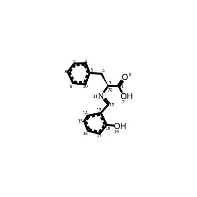 O=C(O)[C@H](Cc1ccccc1)N=Cc1ccccc1O